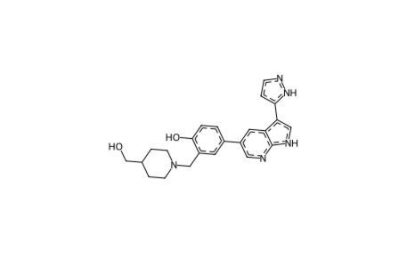 OCC1CCN(Cc2cc(-c3cnc4[nH]cc(-c5ccn[nH]5)c4c3)ccc2O)CC1